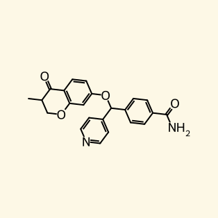 CC1COc2cc(OC(c3ccncc3)c3ccc(C(N)=O)cc3)ccc2C1=O